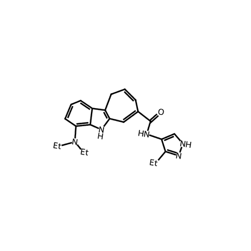 CCc1n[nH]cc1NC(=O)C1=Cc2[nH]c3c(N(CC)CC)cccc3c2CC=C1